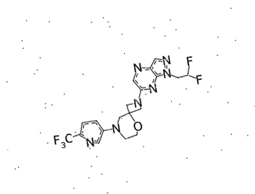 FC(F)Cn1ncc2ncc(N3CC4(CN(c5ccc(C(F)(F)F)nc5)CCO4)C3)nc21